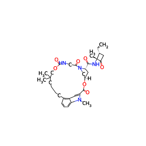 C=C[C@@H]1CC(=O)[C@]1(C)NC(=O)[C@@H]1C[C@@H]2CN1C(=O)CNC(=O)OCC(C)(C)CCCCc1cccc3c1cc(n3C)C(=O)O2